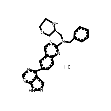 Cl.c1ccc(CN(C[C@H]2COCCN2)c2ncc3cc(-c4ncnc5[nH]ncc45)ccc3n2)cc1